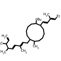 C=CC(C)C(C)/C=C/C(C)=C/CC1CCCCC(CCCC)C(/C=C/C(C)=C/CC)CCCCC1C